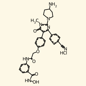 Cl.Cn1c(N2CCC(N)CC2)nc(-c2ccc(C#N)cc2)c(-c2ccc(OCC(=O)Nc3cccc(C(=O)NO)c3)cc2)c1=O